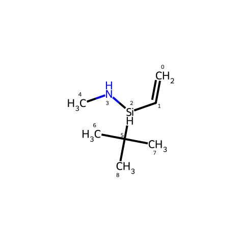 C=C[SiH](NC)C(C)(C)C